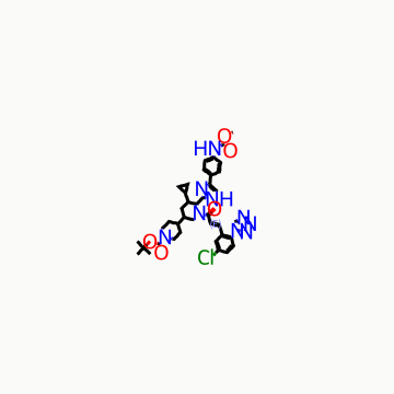 COC(=O)Nc1ccc(-c2c[nH]c(C3C(C4CC4)CC(C4CCN(C(=O)OC(C)(C)C)CC4)CN3C(=O)/C=C/c3cc(Cl)ccc3-n3cnnn3)n2)cc1